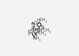 COCC1(Oc2cc3c(N[C@H](C)c4nc(N)cc(C(F)(F)F)n4)nc(C)nc3cc2OC)CC1